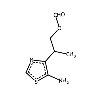 CC(COC=O)c1ncsc1N